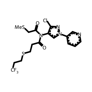 CSCC(=O)N(C(=O)CCSCCC(F)(F)F)c1cn(-c2cccnc2)nc1Cl